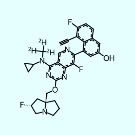 [2H]C([2H])([2H])N(c1nc(OC[C@@]23CCCN2C[C@H](F)C3)nc2c(F)c(-c3cc(O)cc4ccc(F)c(C#C)c34)ncc12)C1CC1